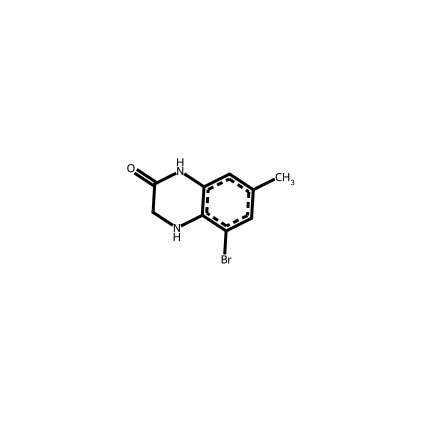 Cc1cc(Br)c2c(c1)NC(=O)CN2